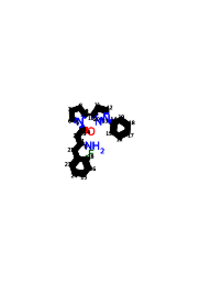 N[C@@H](CC(=O)N1CCC[C@H]1c1ccn(-c2ccccc2)n1)Cc1ccccc1F